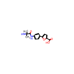 CC(C)([NH])C(=O)Nc1ccc(-c2ccc(C(=O)O)o2)cc1